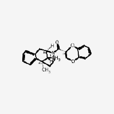 C[C@H]1[C@H]2Cc3ccccc3[C@]1(C)CCN2C(=O)[C@H]1COc2ccccc2O1